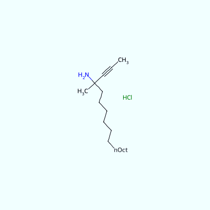 CC#CC(C)(N)CCCCCCCCCCCCCC.Cl